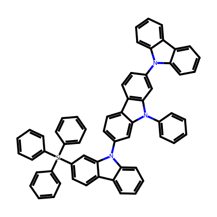 c1ccc(-n2c3cc(-n4c5ccccc5c5ccccc54)ccc3c3ccc(-n4c5ccccc5c5ccc([Si](c6ccccc6)(c6ccccc6)c6ccccc6)cc54)cc32)cc1